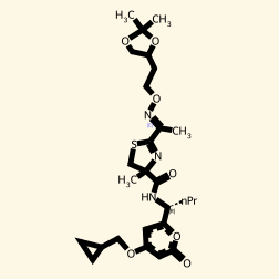 CCC[C@@H](NC(=O)C1(C)CSC(/C(C)=N/OCCC2COC(C)(C)O2)=N1)c1cc(OCC2CC2)cc(=O)o1